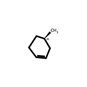 C[C@H]1CC=CCC1